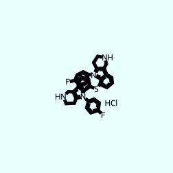 Cl.Fc1ccc(-n2c3c(c4cccc(Sc5cccc6c7c(n(-c8ccc(F)cc8)c56)CCNC7)c42)CNCC3)cc1